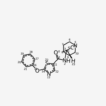 O=C(N[C@H]1CN2CCC1CC2)c1cnc(Oc2ccccc2)s1